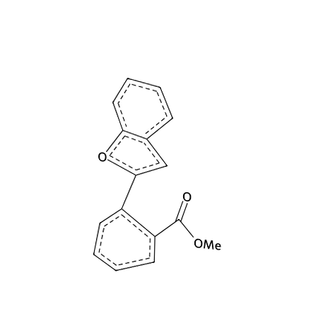 COC(=O)c1ccccc1-c1cc2ccccc2o1